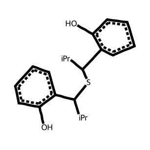 CC(C)C(SC(c1ccccc1O)C(C)C)c1ccccc1O